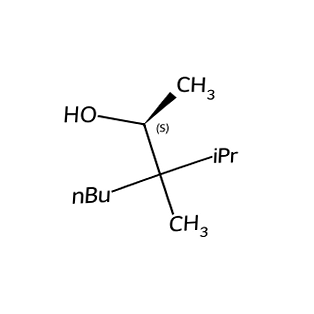 CCCCC(C)(C(C)C)[C@H](C)O